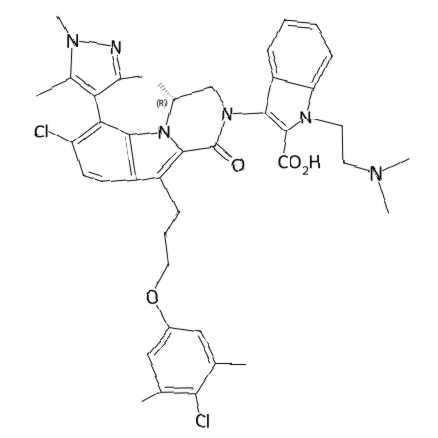 Cc1cc(OCCCc2c3n(c4c(-c5c(C)nn(C)c5C)c(Cl)ccc24)[C@H](C)CN(c2c(C(=O)O)n(CCN(C)C)c4ccccc24)C3=O)cc(C)c1Cl